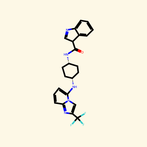 O=C(N[C@H]1CC[C@@H](Nc2cccc3nc(C(F)(F)F)cn23)CC1)C1C=Nc2ccccc21